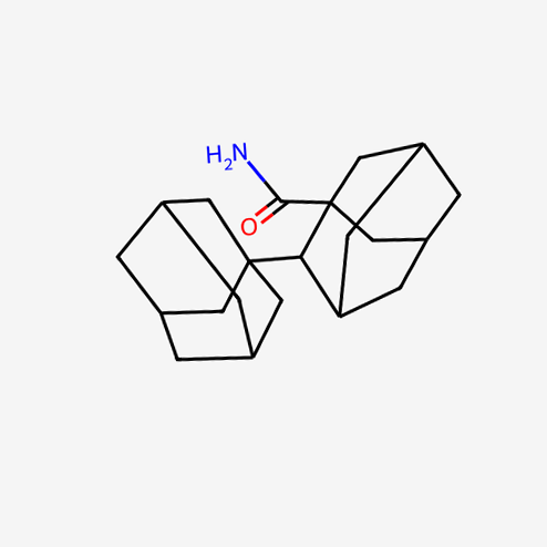 NC(=O)C12CC3CC(CC(C3)C1C13CC4CC(CC(C4)C1)C3)C2